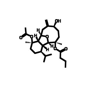 C=C1C[C@H]2O[C@H]([C@H]3[C@@H]2[C@](C)(OC(C)=O)CC[C@@H]3C(C)C)[C@](C)(OC(=O)CCC)CC[C@@H]1O